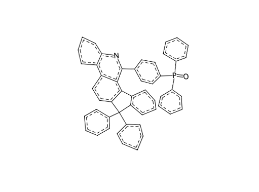 O=P(c1ccccc1)(c1ccccc1)c1ccc(-c2nc3ccccc3c3ccc4c(c23)-c2ccccc2C4(c2ccccc2)c2ccccc2)cc1